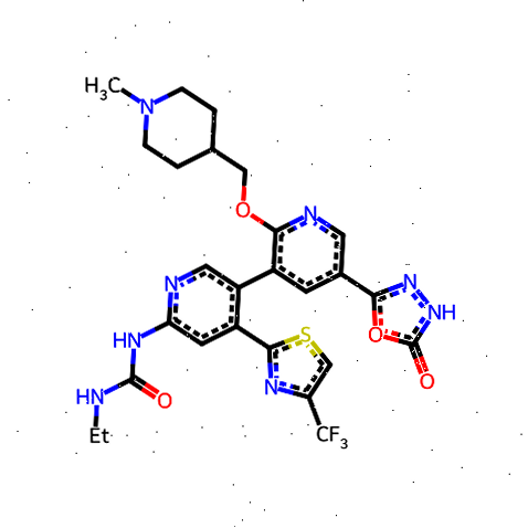 CCNC(=O)Nc1cc(-c2nc(C(F)(F)F)cs2)c(-c2cc(-c3n[nH]c(=O)o3)cnc2OCC2CCN(C)CC2)cn1